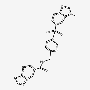 Cn1cnc2ccc(S(=O)(=O)c3ccc(CNC(=O)c4cnc5nccn5c4)cc3)cc21